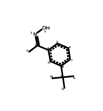 C/C(=N/O)c1cccc(C(C)(C)C)c1